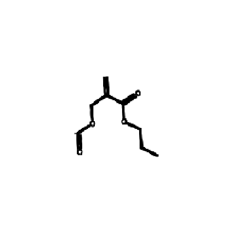 C=C(CO[C]=O)C(=O)OCCC